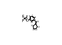 FC(F)(F)Oc1cccc(C=C2CCCC2)c1